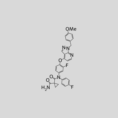 COc1ccc(Cn2ncc3c(Oc4ccc(N(C(=O)C5(C(N)=O)CC5)c5ccc(F)cc5)cc4F)ccnc32)cc1